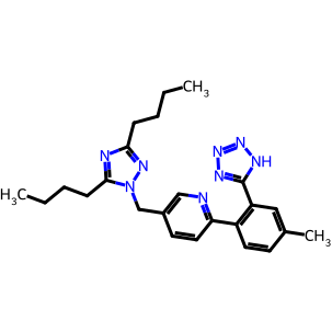 CCCCc1nc(CCCC)n(Cc2ccc(-c3ccc(C)cc3-c3nnn[nH]3)nc2)n1